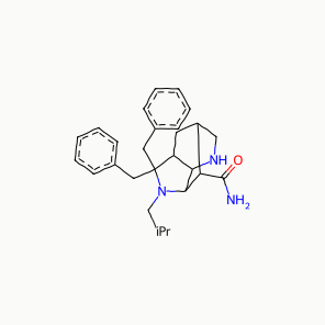 CC(C)CN1C2C3NCC(CC3C1(Cc1ccccc1)Cc1ccccc1)C2C(N)=O